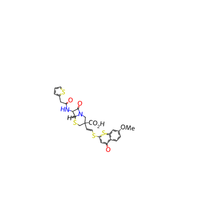 COc1ccc2c(=O)cc(SC=CC3(C(=O)O)CS[C@@H]4C(NC(=O)Cc5cccs5)C(=O)N4C3)sc2c1